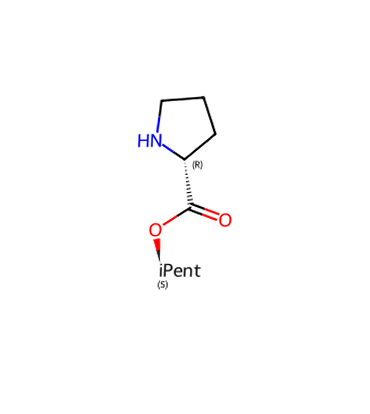 CCC[C@H](C)OC(=O)[C@H]1CCCN1